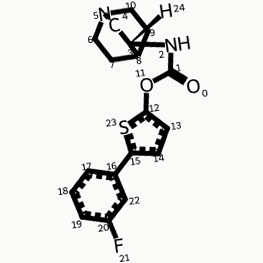 O=C(N[C@H]1CN2CCC1CC2)Oc1ccc(-c2cccc(F)c2)s1